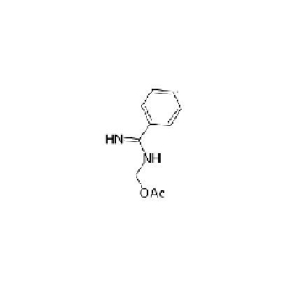 CC(=O)OCNC(=N)c1cc[c]cc1